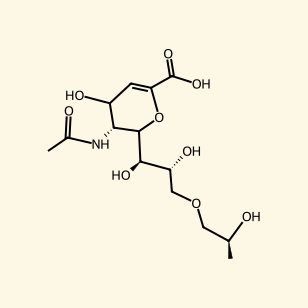 CC(=O)N[C@@H]1C(O)C=C(C(=O)O)OC1[C@H](O)[C@H](O)COC[C@H](C)O